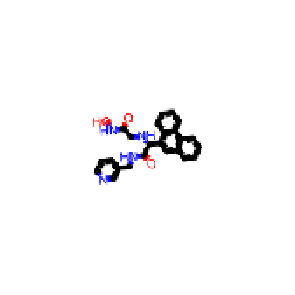 O=C(CNC(C(=O)NCc1cccnc1)c1cc2ccccc2c2ccccc12)NO